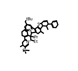 CCC1[N+]2=C(CC(C)C([Si](C)(C)C)=C2)C2=C(C=CCC2)C1(C(C)C)C1C2=C(C3=C(C(C)C2)C2C(C=CC(C4=CCCC=C4)C2C)S3)c2cc(CC(C)(C)C)cc[n+]21